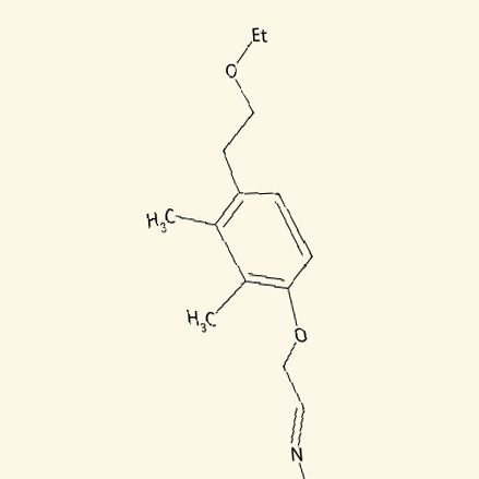 CCOCCc1ccc(OCC=NO)c(C)c1C